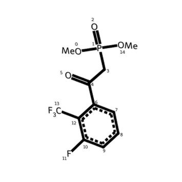 COP(=O)(CC(=O)c1cccc(F)c1C(F)(F)F)OC